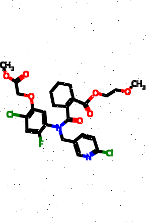 COCCOC(=O)C1=C(C(=O)N(Cc2ccc(Cl)nc2)c2cc(OCC(=O)OC)c(Cl)cc2F)CCCC1